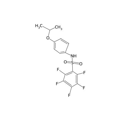 CC(C)Oc1ccc(NS(=O)(=O)c2c(F)c(F)c(F)c(F)c2F)cc1